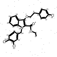 CCOC(=O)c1c(OCCc2ccc(Cl)cc2)c2ccccc2n1Cc1ccc(Cl)c(Cl)c1